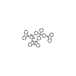 c1ccc([Si](c2ccccc2)(c2ccc(-n3c4ccccc4c4ccccc43)cc2)c2cccc(-c3nc(-n4c5ccccc5c5ccccc54)cc(-n4c5ccccc5n5c6ccccc6nc45)n3)c2)cc1